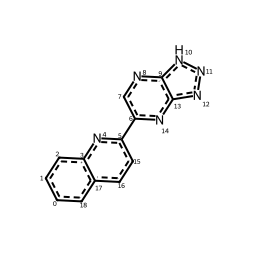 c1ccc2nc(-c3cnc4[nH]nnc4n3)ccc2c1